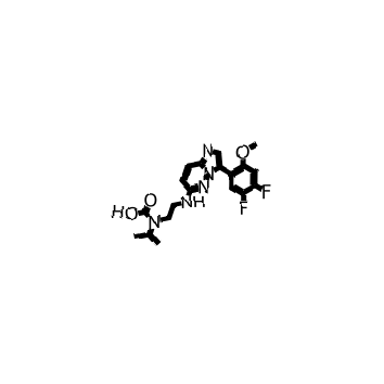 COc1cc(F)c(F)cc1-c1cnc2ccc(NCCN(C(=O)O)C(C)C)nn12